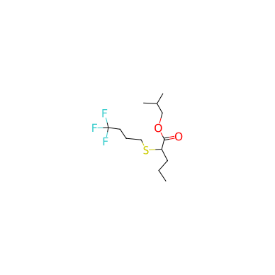 CCCC(SCCCC(F)(F)F)C(=O)OCC(C)C